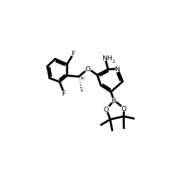 C[C@@H](Oc1cc(B2OC(C)(C)C(C)(C)O2)cnc1N)c1c(F)cccc1F